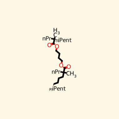 CCC[C@@H](C)CCCCC(C)(CCC)C(=O)OCCCCOC(=O)C(C)(CCC)[C@@H](C)CCC